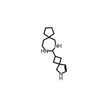 C1=CC2(CN1)CC(C1NCCC3(CCCC3)CN1)C2